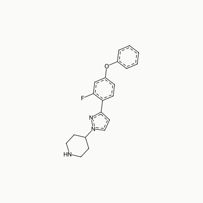 Fc1cc(Oc2ccccc2)ccc1-c1ccn(C2CCNCC2)n1